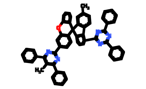 Cc1ccc2c(c1)C1(c3ccccc3Oc3cc(-c4nc(-c5ccccc5)c(C)c(-c5ccccc5)n4)ccc31)c1cccc(-c3nc(-c4ccccc4)nc(-c4ccccc4)n3)c1-2